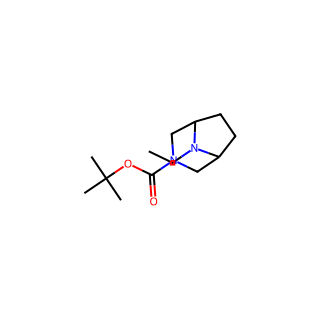 CCN1C2CCC1CN(C(=O)OC(C)(C)C)C2